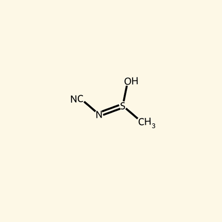 C/S(O)=N/C#N